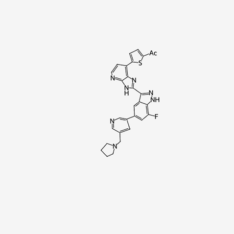 CC(=O)c1ccc(-c2ccnc3[nH]c(-c4n[nH]c5c(F)cc(-c6cncc(CN7CCCC7)c6)cc45)nc23)s1